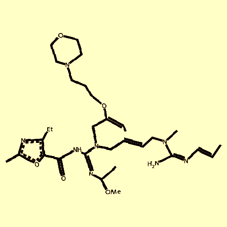 C/C=C/N=C(/N)N(C)C/C=C/CN(C/C(=C\C)OCCCN1CCOCC1)/C(=N\C(C)OC)NC(=O)c1oc(C)nc1CC